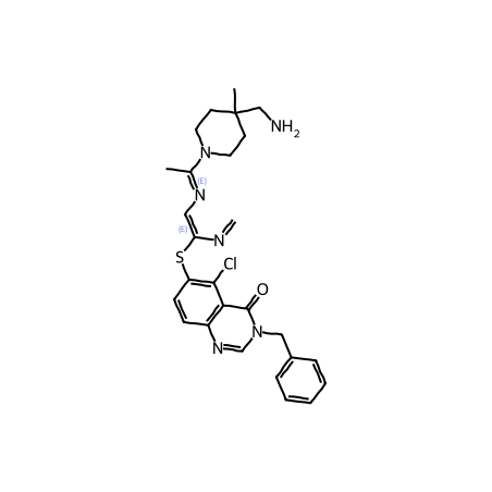 C=N/C(=C\N=C(/C)N1CCC(C)(CN)CC1)Sc1ccc2ncn(Cc3ccccc3)c(=O)c2c1Cl